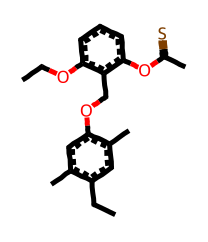 CCOc1cccc(OC(C)=S)c1COc1cc(C)c(CC)cc1C